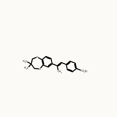 CCOC(=O)c1ccc(/C=C(\C)c2ccc3c(c2)OCC(C)(C)CO3)cc1